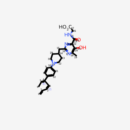 C=C/C=C\C(=C/C)c1ccc(N2CCC(Cc3nc(C)c(O)c(C(=O)NCC(=O)O)n3)CC2)cc1